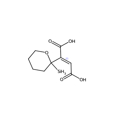 O=C(O)/C=C(/C(=O)O)C1([SiH3])CCCCO1